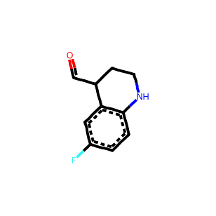 O=CC1CCNc2ccc(F)cc21